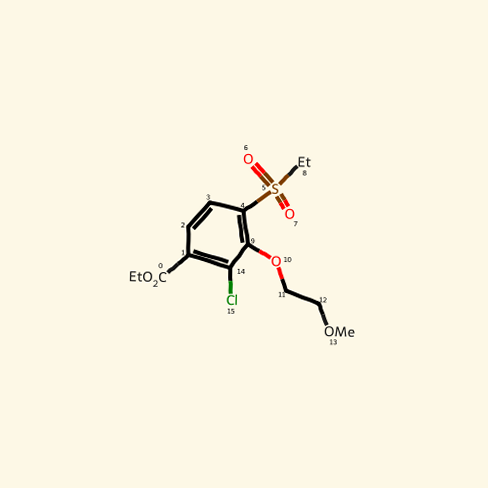 CCOC(=O)c1ccc(S(=O)(=O)CC)c(OCCOC)c1Cl